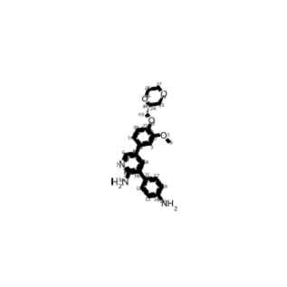 COc1cc(-c2cnc(N)c(-c3ccc(N)cc3)c2)ccc1OC[C@H]1COCCO1